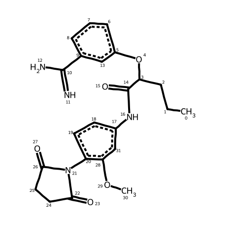 CCCC(Oc1cccc(C(=N)N)c1)C(=O)Nc1ccc(N2C(=O)CCC2=O)c(OC)c1